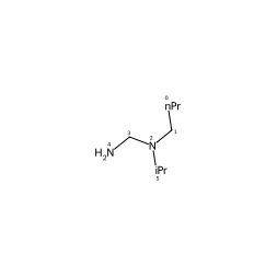 CCCCN(CN)C(C)C